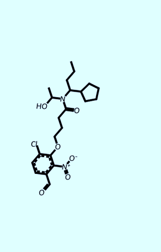 CCCC(C1CCCC1)N(C(=O)CCCOc1c(Cl)ccc(C=O)c1[N+](=O)[O-])C(C)O